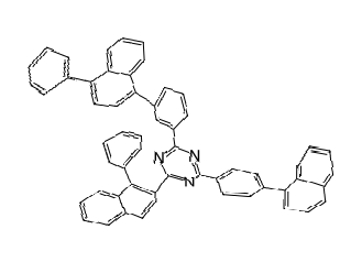 c1ccc(-c2c(-c3nc(-c4ccc(-c5cccc6ccccc56)cc4)nc(-c4cccc(-c5ccc(-c6ccccc6)c6ccccc56)c4)n3)ccc3ccccc23)cc1